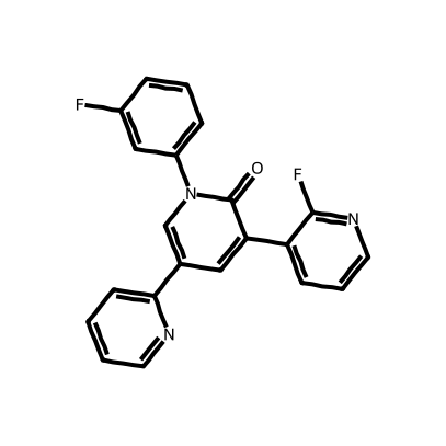 O=c1c(-c2cccnc2F)cc(-c2ccccn2)cn1-c1cccc(F)c1